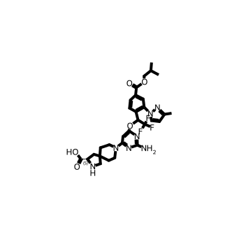 Cc1ccn(-c2cc(C(=O)OCC(C)C)ccc2C(Oc2cc(N3CCC4(CC3)CN[C@H](C(=O)O)C4)nc(N)n2)C(F)(F)F)n1